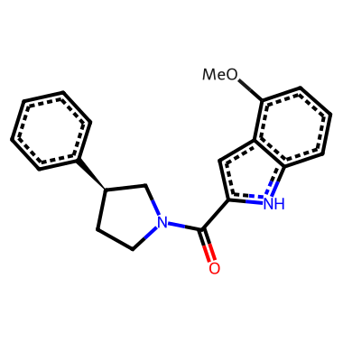 COc1cccc2[nH]c(C(=O)N3CC[C@@H](c4ccccc4)C3)cc12